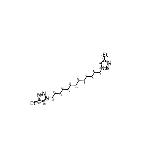 CCc1cn(CCCCCCCCCCCCCn2cc(CC)nn2)nn1